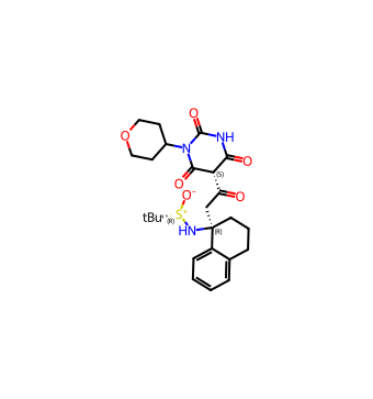 CC(C)(C)[S@+]([O-])N[C@@]1(CC(=O)[C@H]2C(=O)NC(=O)N(C3CCOCC3)C2=O)CCCc2ccccc21